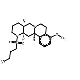 COc1cccc2c1CCN1C[C@@H]3CCCN(S(=O)(=O)CCCN)[C@@H]3C[C@@H]21